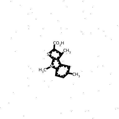 Cc1ccc2c(c1)c1c(C)c(C(=O)O)sc1n2C